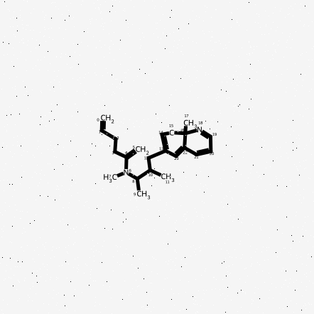 C=CCCC(=C)N(C)C(C)C(C)CC1=CCC2(C)N=CC=CC2=C1